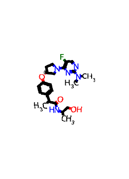 CC(CO)NC(=O)C(C)c1ccc(O[C@@H]2CCN(c3nc(N(C)C)ncc3F)C2)cc1